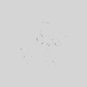 CC(C)(C)OC(=O)C[C@@H](CCCc1ccc2ccccc2c1)C(=O)N[C@@H](Cc1c[nH]c2ccccc12)C(=O)NCCc1ccccc1